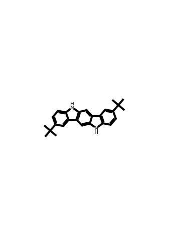 CC(C)(C)c1ccc2[nH]c3cc4c(cc3c2c1)[nH]c1ccc(C(C)(C)C)cc14